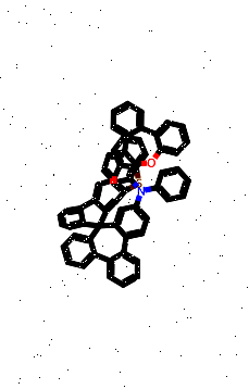 c1ccc(N(c2ccc3c(c2)C2(c4ccccc4-c4ccccc4-3)c3ccccc3-c3cc4c(cc32)sc2ccccc24)c2cccc3c2Oc2ccccc2-c2ccccc2-3)cc1